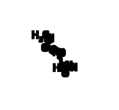 Cn1cc(C(=O)C2CCN(C(=O)CCCc3cn4cncc4c(=O)[nH]3)CC2)cn1